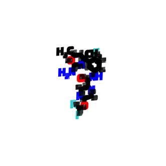 CC1=CC(C)(c2cc(NC(=O)c3cnc(OC(F)F)cn3)ccc2F)N=C(N)O1